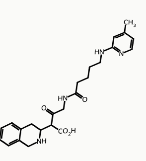 Cc1ccnc(NCCCCC(=O)NCC(=O)C(C(=O)O)C2Cc3ccccc3CN2)c1